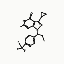 CCC(c1ccc(C(F)(F)F)nc1)n1nc(C2CC2)c2c(=O)[nH]c(C)nc21